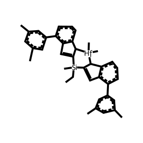 CC[Si]1(C)C2=Cc3c(-c4cc(C)cc(C)c4)cccc3[CH]2[Hf]([CH3])([CH3])[CH]2C1=Cc1c(-c3cc(C)cc(C)c3)cccc12